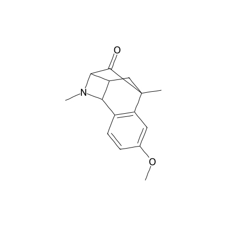 COc1ccc2c(c1)C1(C)CC3C(C1=O)N(C)C23